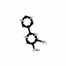 COc1cnc(-c2cncnc2)nc1N